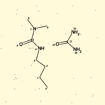 CCCCNC(=O)N(C)C.NC(N)=O